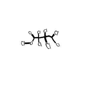 O=C(OCl)C(Cl)(Cl)C(Cl)(Cl)C(Cl)Cl